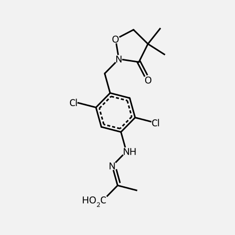 CC(=NNc1cc(Cl)c(CN2OCC(C)(C)C2=O)cc1Cl)C(=O)O